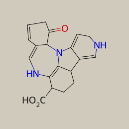 O=C(O)C1CCC2C3=CNCC=C3N3C2=C1NC=C1C=CCC(=O)C13